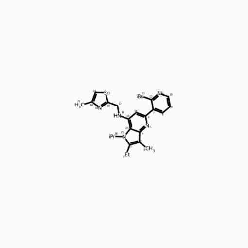 CCc1c(C)c2nc(-c3cccnc3C(C)CC)cc(NCc3nc(C)cs3)c2n1C(C)C